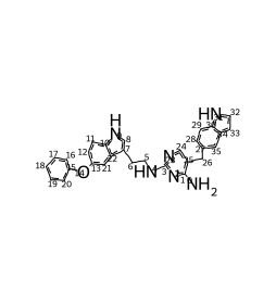 Nc1nc(NCCc2c[nH]c3ccc(Oc4ccccc4)cc23)ncc1Cc1ccc2[nH]ccc2c1